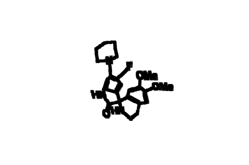 COc1cc2c(cc1OC)C1(NCC2)C(=O)Nc2cc(N3CCCCC3)c(F)cc21